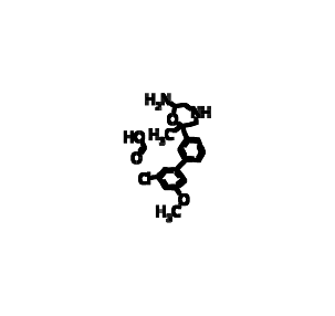 COc1cc(Cl)cc(-c2cccc(C3(C)CNCC(N)O3)c2)c1.O=CO